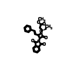 CC[C@@H](CC(=O)OC)N1C(=O)C(N2C(=O)c3ccccc3C2=O)C1C=Cc1ccccc1